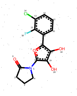 O=C1CCCN1c1oc(-c2cccc(Cl)c2F)c(O)c1O